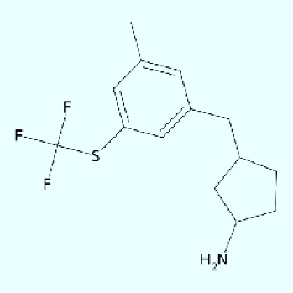 Cc1cc(CC2CCC(N)C2)cc(SC(F)(F)F)c1